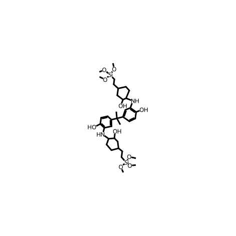 CO[Si](CCC1CCC(Nc2cc(C(C)(C)c3ccc(O)c(NC4CCC(CC[Si](OC)(OC)OC)CC4O)c3)ccc2O)C(O)C1)(OC)OC